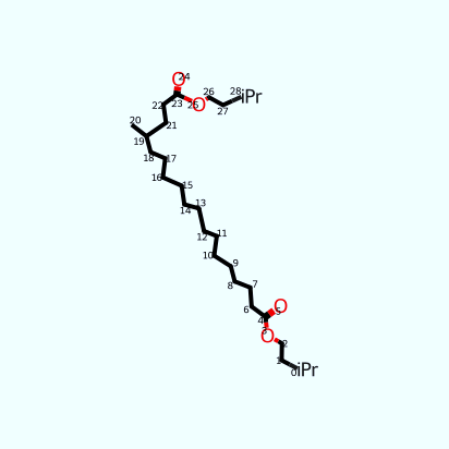 CC(C)CCOC(=O)CCCCCCCCCCCCCC(C)CCC(=O)OCCC(C)C